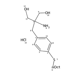 CCCCCCCCSc1ccc(CC(N)(CO)CO)cc1.Cl